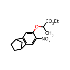 CCOC(=O)C(C)Oc1cc2c(cc1[N+](=O)[O-])C1CCC2C1